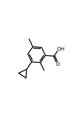 Cc1cc(C(=O)O)c(C)c(C2CC2)c1